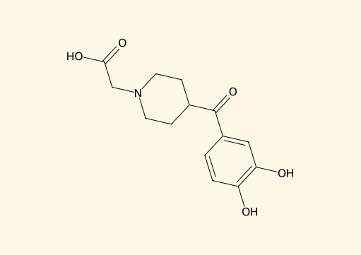 O=C(O)CN1CCC(C(=O)c2ccc(O)c(O)c2)CC1